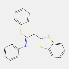 c1ccc(N=C(CC2Sc3ccccc3S2)Sc2ccccc2)cc1